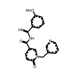 COc1cccc(C(=N)NC(=O)c2ccc(=O)n(Cc3cccnc3)c2)c1